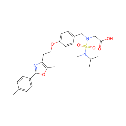 Cc1ccc(-c2nc(CCOc3ccc(CN(CC(=O)O)S(=O)(=O)N(C)C(C)C)cc3)c(C)o2)cc1